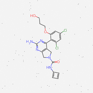 Nc1nc2c(c(-c3c(Cl)cc(Cl)cc3OCCCO)n1)CN(C(=O)NC1=CC=C1)C2